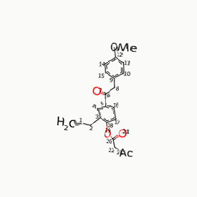 C=CCc1cc(C(=O)Cc2ccc(OC)cc2)ccc1OC(=O)CC(C)=O